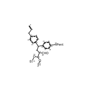 C=CCc1ccc(C(CC(C=O)C(OCC)OCC)c2ccc(CCCCC)cc2)cc1